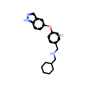 Cl.c1cc(Oc2ccc3[nH]ncc3c2)ccc1CNCC1CCCCC1